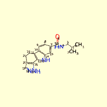 CC(C)CNC(=O)c1ccc2c3c([nH]c2c1)-c1[nH]ncc1CC3